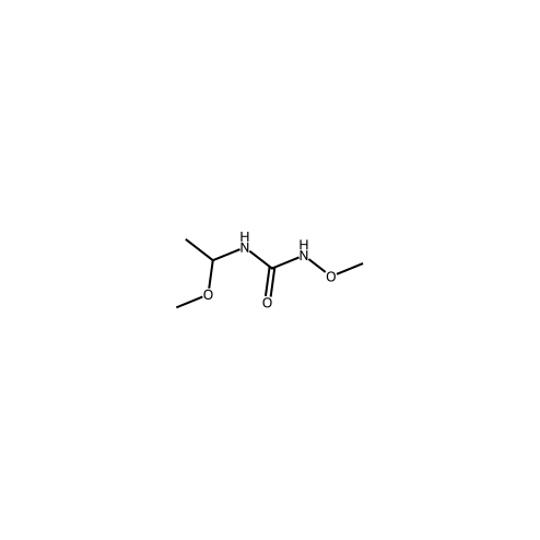 CONC(=O)NC(C)OC